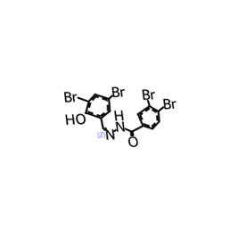 O=C(N/N=C\c1cc(Br)cc(Br)c1O)c1ccc(Br)c(Br)c1